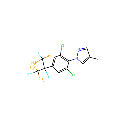 Cc1cnn(-c2c(Cl)cc(C(F)(C(F)(P)P)C(F)(P)P)cc2Cl)c1